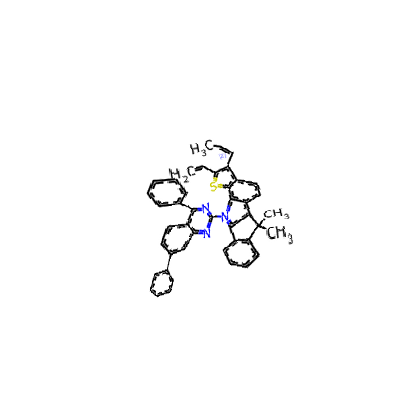 C=Cc1sc2c(ccc3c4c(n(-c5nc(-c6ccccc6)c6ccc(-c7ccccc7)cc6n5)c32)-c2ccccc2C4(C)C)c1/C=C\C